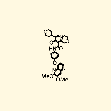 COc1cc2nccc(Oc3ccc(NC(=O)c4c5n(cc(C6=CCOCC6)c4=O)CCOC5)cc3)c2nc1OC